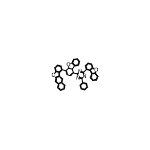 C1=C(c2cccc3oc4cc5ccccc5cc4c23)C2Oc3ccccc3C2C(c2nc(-c3ccccc3)nc(-c3cccc4oc5ccccc5c34)n2)=C1